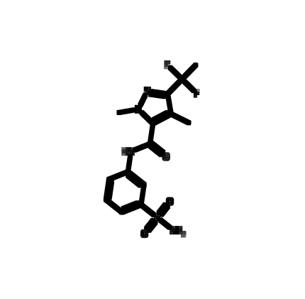 Cc1c(C(C)(F)F)nn(C)c1C(=O)Nc1cccc(S(N)(=O)=O)c1